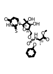 COC(=O)[C@H](C)N[P@@](=O)(OC[C@H]1O[C@@H](n2ccc(=O)[nH]c2=S)C(C)(O)[C@H]1O)Oc1ccccc1